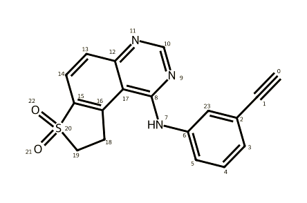 C#Cc1cccc(Nc2ncnc3ccc4c(c23)CCS4(=O)=O)c1